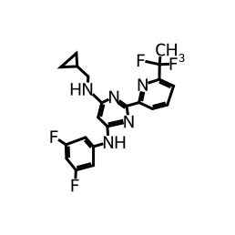 CC(F)(F)c1cccc(-c2nc(NCC3CC3)cc(Nc3cc(F)cc(F)c3)n2)n1